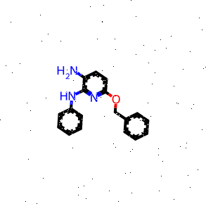 Nc1ccc(OCc2ccccc2)nc1Nc1ccccc1